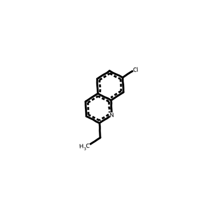 CCc1ccc2ccc(Cl)cc2n1